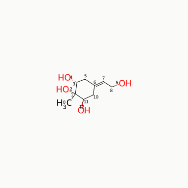 CC1(O)[C@H](O)CC(=CCO)C[C@H]1O